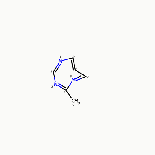 CC1=N/C=N\C=C\C=N\1